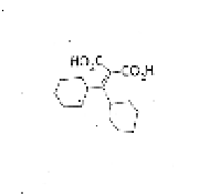 O=C(O)C(C(=O)O)=C(C1CCCCC1)C1CCCCC1